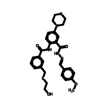 COc1ccc(C=NNC(=O)c2cc(N3CCSCC3)ccc2NC(=O)c2cccc(CSCCO)c2)cc1